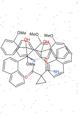 COc1ccccc1C(O)(c1ccccc1OC)[C@H](c1cccc2ccccc12)N(C(=O)C1(C(N)=O)CC1)[C@@H](c1cccc2ccccc12)C(O)(c1ccccc1OC)c1ccccc1OC